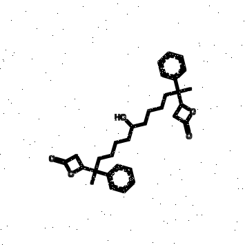 CC(CCCCC(O)CCCCC(C)(c1ccccc1)C1CC(=O)O1)(c1ccccc1)C1CC(=O)O1